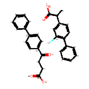 CC(C(=O)O)c1ccc(-c2ccccc2)c(F)c1.O=C(O)CCC(=O)c1ccc(-c2ccccc2)cc1